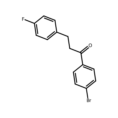 O=C(CCc1ccc(F)cc1)c1ccc(Br)cc1